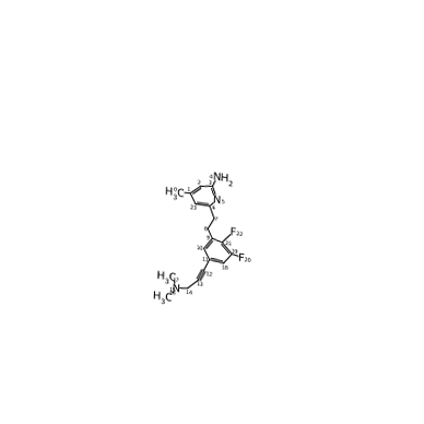 Cc1cc(N)nc(CCc2cc(C#CCN(C)C)cc(F)c2F)c1